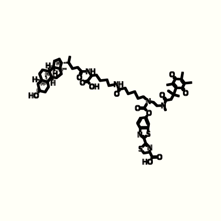 CC1=C(C)C(=O)C(C(C)(C)CC(=O)N(C)CCN(CCCCCC(=O)NCCCCC(NC(=O)CCC(C)[C@H]2CC[C@H]3[C@@H]4CC[C@@H]5C[C@H](O)CC[C@]5(C)[C@H]4CC[C@]23C)C(=O)O)C(=O)Oc2ccc3nc(C4=NC(C(=O)O)CS4)sc3c2)=C(C)C1=O